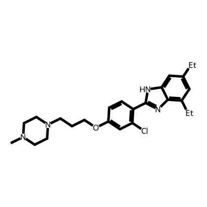 CCc1cc(CC)c2nc(-c3ccc(OCCCN4CCN(C)CC4)cc3Cl)[nH]c2c1